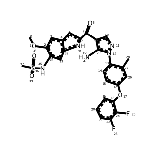 COc1cc2cc(C(=O)c3cnn(-c4ccc(Oc5cccc(F)c5F)cc4C)c3N)[nH]c2cc1NS(C)(=O)=O